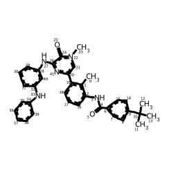 Cc1c(NC(=O)c2ccc(C(C)(C)C)cc2)cccc1-c1cn(C)c(=O)c(Nc2cccc(Nc3ccccc3)c2)n1